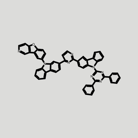 c1ccc(-c2nc(-c3ccccc3)nc(-n3c4ccccc4c4cc(-c5nccc(-c6ccc7c8ccccc8n(-c8ccc9oc%10ccncc%10c9c8)c7c6)n5)ccc43)n2)cc1